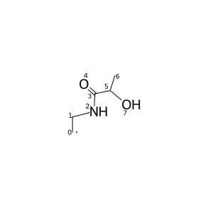 [CH2]CNC(=O)C(C)O